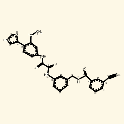 COc1cc(NC(=O)C(=O)Nc2cccc(CNC(=O)c3cccc(C#N)c3)c2)ccc1-c1cnco1